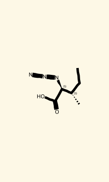 CC[C@H](C)[C@H](N=[N+]=[N-])C(=O)O